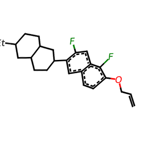 C=CCOc1ccc2cc(C3CCC4CC(CC)CCC4C3)c(F)cc2c1F